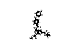 CCOC(=O)n1nc(NC(=O)c2ccc(OC3CCN(C)CC3)cc2)c2cc(C(=O)OC(C)(C)C)sc21